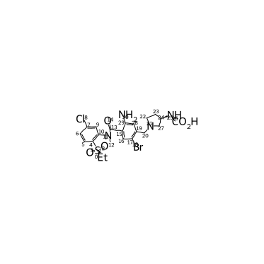 CCS(=O)(=O)c1ccc(Cl)cc1N(C)C(=O)c1cc(Br)c(CN2CC[C@@H](NC(=O)O)C2)cc1N